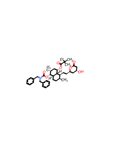 CCC(C)(C)C(=O)O[C@H]1C[C@@H](C)[C@@H](OC(=O)N(Cc2ccccc2)Cc2ccccc2)[C@@H]2CC[C@H](C)[C@H](CC[C@@H]3C[C@@H](O)CC(=O)O3)[C@H]21